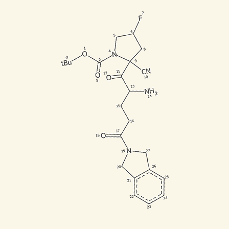 CC(C)(C)OC(=O)N1CC(F)CC1(C#N)C(=O)C(N)CCC(=O)N1Cc2ccccc2C1